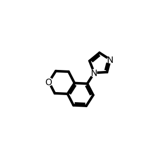 c1cc2c(c(-n3ccnc3)c1)CCOC2